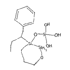 CCC(c1ccccc1)[Si]1(O[Si](O)(O)O)CCCO[SiH2]1